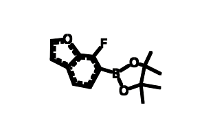 CC1(C)OB(c2ccc3ccoc3c2F)OC1(C)C